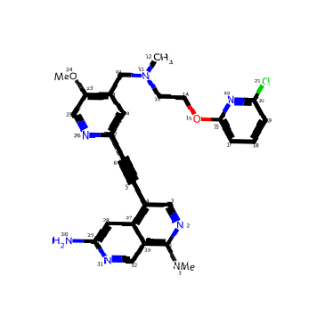 CNc1ncc(C#Cc2cc(CN(C)CCOc3cccc(Cl)n3)c(OC)cn2)c2cc(N)ncc12